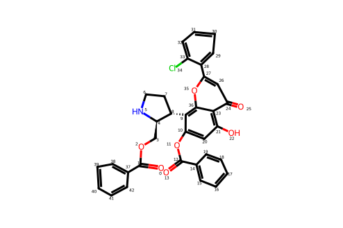 O=C(OC[C@H]1NCC[C@@H]1c1c(OC(=O)c2ccccc2)cc(O)c2c(=O)cc(-c3ccccc3Cl)oc12)c1ccccc1